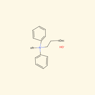 CCCCCCCCCCCC[N+](CCC)(c1ccccc1)c1ccccc1.[OH-]